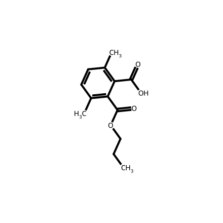 CCCOC(=O)c1c(C)ccc(C)c1C(=O)O